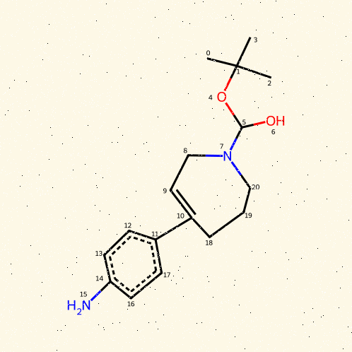 CC(C)(C)OC(O)N1CC=C(c2ccc(N)cc2)CCC1